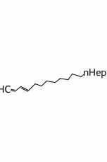 [CH]=CC=CCCCCCCCCCCCCCCC